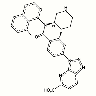 Cc1cccc2ccnc(N(C(=O)c3ccc(-n4nnc5ccc(C(=O)O)nc54)cc3F)[C@@H]3CCCNC3)c12